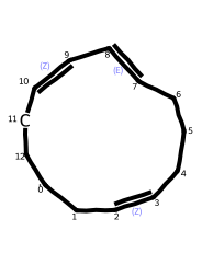 [CH]1C/C=C\CCC/C=C/C=C\CC1